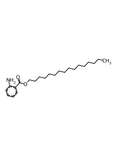 CCCCCCCCCCCCCCCCOC(=O)c1ccccc1N